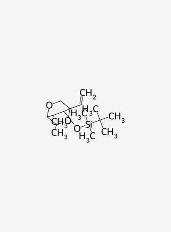 C=CC12COC(C(C)O1)C(C)C2O[Si](C)(C)C(C)(C)C